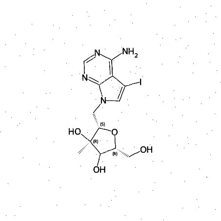 C[C@@]1(O)C(O)[C@@H](CO)O[C@H]1Cn1cc(I)c2c(N)ncnc21